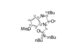 CCCCN(CCCC)C(=O)Cn1c(=O)c(C(C)(C)C)nc2ccc(OC)cc21